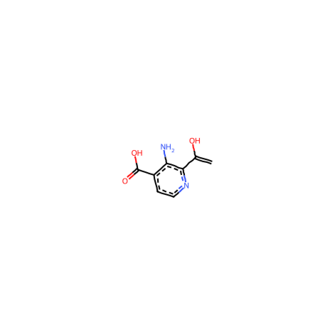 C=C(O)c1nccc(C(=O)O)c1N